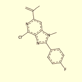 C=C(C)c1cc2c(nc(-c3ccc(F)cc3)n2C)c(Cl)n1